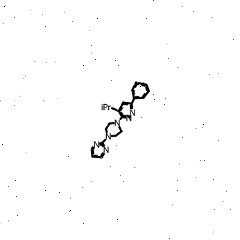 CC(C)c1cc(-c2ccccc2)nnc1N1CCN(c2ncccn2)CC1